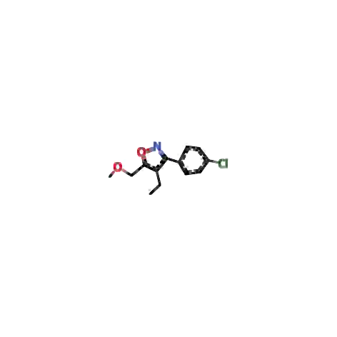 CCc1c(-c2ccc(Cl)cc2)noc1COC